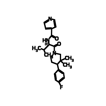 CC(C)[C@@H](NC(=O)c1ccncc1)C(=O)N1CCC(c2ccc(F)cc2)C(C)(C)C1